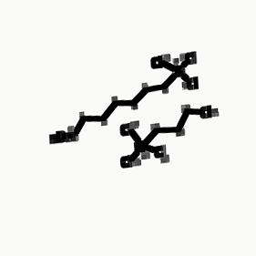 CCCCCCCCCCCCCCCC[Si](Cl)(Cl)Cl.ClCCC[Si](Cl)(Cl)Cl